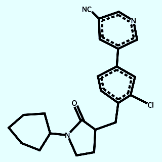 N#Cc1cncc(-c2ccc(CC3CCN(C4CCCCC4)C3=O)c(Cl)c2)c1